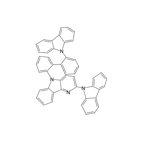 c1ccc(-n2c3ccccc3c3ccccc32)c(-c2ccccc2-n2c3ccccc3c3nc(-n4c5ccccc5c5ccccc54)ccc32)c1